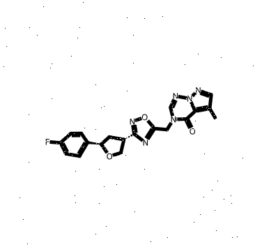 Cc1cnn2ncn(Cc3nc([C@@H]4CO[C@@H](c5ccc(F)cc5)C4)no3)c(=O)c12